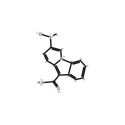 C[S+]([O-])c1ccc2c(C(N)=O)c3ccccc3n2c1